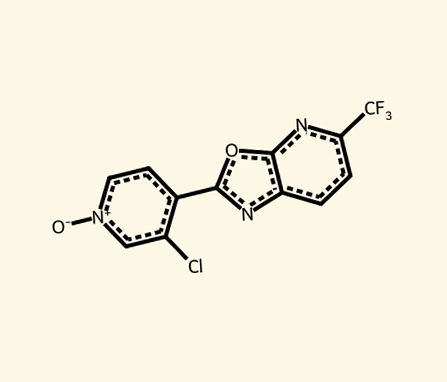 [O-][n+]1ccc(-c2nc3ccc(C(F)(F)F)nc3o2)c(Cl)c1